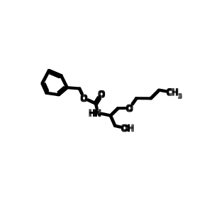 CCCCOCC(CO)NC(=O)OCc1ccccc1